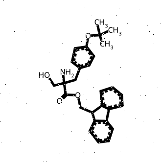 CC(C)(C)Oc1ccc(CC(N)(CO)C(=O)OCC2c3ccccc3-c3ccccc32)cc1